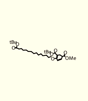 COC(=O)C1C=CC(OCCCCCCCCCCCCCCC(=O)OC(C)(C)C)=C(C(=O)OC(C)(C)C)C1